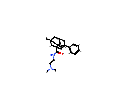 CN(C)CCNC(=O)C12CC3CC(C)(C1)CC(c1ccccc1)(C3)C2